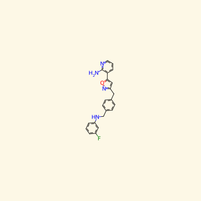 Nc1ncccc1-c1cc(Cc2ccc(CNc3cccc(F)c3)cc2)no1